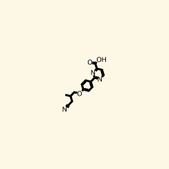 CC(CC#N)COc1ccc(-c2nccc(C(=O)O)n2)cc1